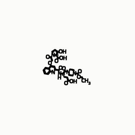 CCOC(=O)N1CCN(C(=O)[C@H](CCC(=O)O)NC(=O)c2cc(OCC(=O)N3CC[C@H](O)[C@H]3C(=O)O)c3ccccc3n2)CC1